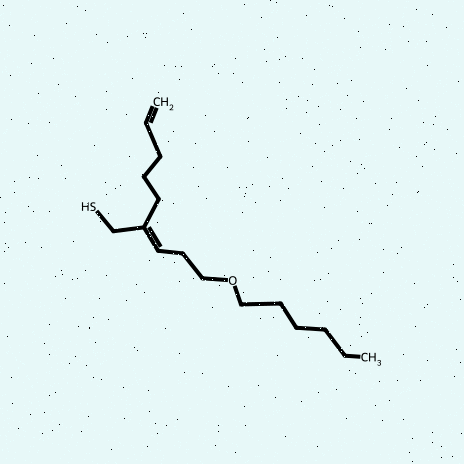 C=CCCC/C(=C\CCOCCCCCC)CS